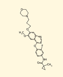 COc1cc2c(Oc3ccc(NC(=O)C4(C)CC4)cc3F)ccnc2cc1OCCCN1CCOCC1